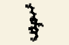 C=Cc1cc(C(C)(CC)CCCCCC)[nH]n1